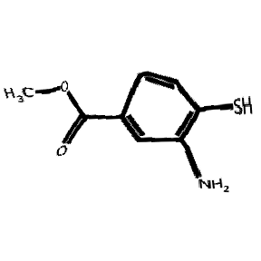 COC(=O)c1ccc(S)c(N)c1